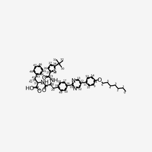 CCCCCCCOc1ccc(-c2cnc(-c3ccc(C[C@H](NC(=O)c4ccc(C(C)(C)C)s4)C(=O)NC(C(=O)O)[C@H](C)c4ccccc4)cc3)nc2)cc1